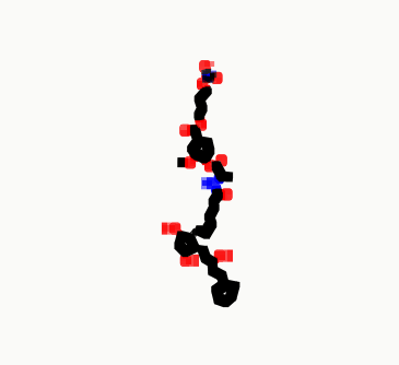 COc1cc(C(=O)OCCCCO[N+](=O)[O-])ccc1OC(=O)C(C)NC(=O)CCC/C=C\C[C@@H]1[C@@H](CC[C@@H](O)CCc2ccccc2)[C@H](O)C[C@@H]1O